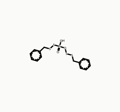 O=P(O)(OSSCc1ccccc1)SSCc1ccccc1